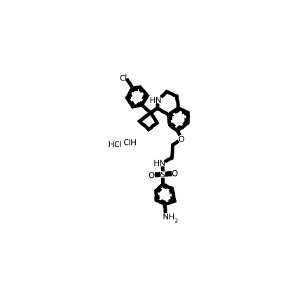 Cl.Cl.Nc1ccc(S(=O)(=O)NCCOc2ccc3c(c2)C(C2(c4ccc(Cl)cc4)CCC2)NCC3)cc1